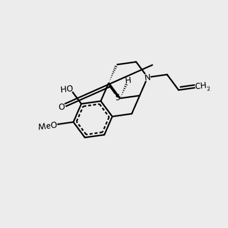 C=CCN1CC[C@@]23CC(=O)SC[C@@H]2C1Cc1ccc(OC)c(O)c13